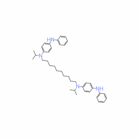 CC(C)N(CCCCCCCCCCN(c1ccc(Nc2ccccc2)cc1)C(C)C)c1ccc(Nc2ccccc2)cc1